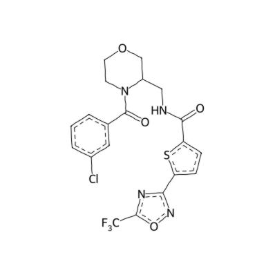 O=C(NCC1COCCN1C(=O)c1cccc(Cl)c1)c1ccc(-c2noc(C(F)(F)F)n2)s1